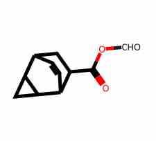 O=COC(=O)C1CC2C=CC1C1CC21